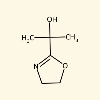 CC(C)(O)C1=NCCO1